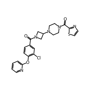 O=C(c1ccc(Oc2ccccn2)c(Cl)c1)N1CC(N2CCN(C(=O)c3nccs3)CC2)C1